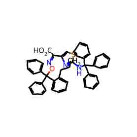 C=CCc1ccccc1C(ON=C(C(=O)O)c1csc(NC(c2ccccc2)(c2ccccc2)c2ccccc2)n1)(c1ccccc1)c1ccccc1